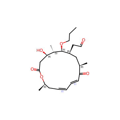 CCCO[C@H]1[C@@H](CC=O)C[C@@H](C)C(=O)/C=C/C=C/C[C@@H](C)OC(=O)C[C@@H](O)[C@@H]1C